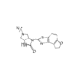 CN1CC2NC(=O)N(c3nc4c5c(ccc4s3)OCC5)C2C1